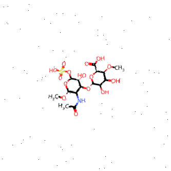 CO[C@@H]1OC(OS(=O)(=O)O)[C@H](O)C(O[C@@H]2O[C@@H](C(=O)O)[C@@H](OC)C(O)C2O)C1NC(C)=O